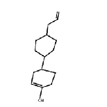 C=CCC1CCC(C2CC=C(C#N)CC2)CC1